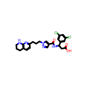 O=C(O)CC(NC(=O)c1cnn(CCCc2ccc3c(n2)NCCC3)c1)c1cc(Cl)cc(Cl)c1